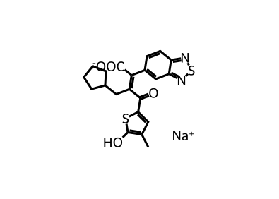 Cc1cc(C(=O)C(CC2CCCC2)=C(C(=O)[O-])c2ccc3nsnc3c2)sc1O.[Na+]